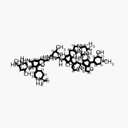 CNC1CC(C)NC(Nc2cc3c(c(C4=CCN[C@H](C(F)F)CC4)c2F)OC(CNC2CC(C)NC(Nc4cc5c(c(C6=CCNCCC6)c4C)OCC(CNC4CC(C)NC(Nc6cc7c(c(C8=CCN(C)C[C@@H](O)C8)c6F)OCC7)N4)C5)N2)C3)N1